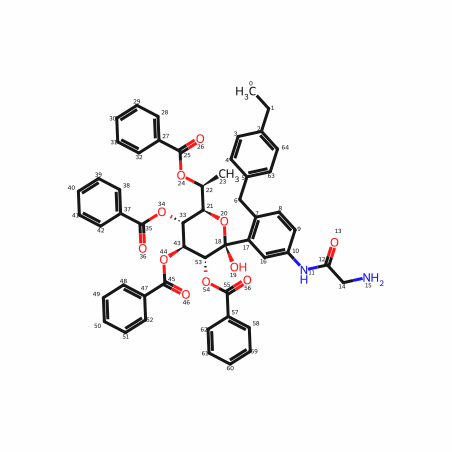 CCc1ccc(Cc2ccc(NC(=O)CN)cc2[C@@]2(O)O[C@H]([C@H](C)OC(=O)c3ccccc3)[C@@H](OC(=O)c3ccccc3)[C@H](OC(=O)c3ccccc3)[C@H]2OC(=O)c2ccccc2)cc1